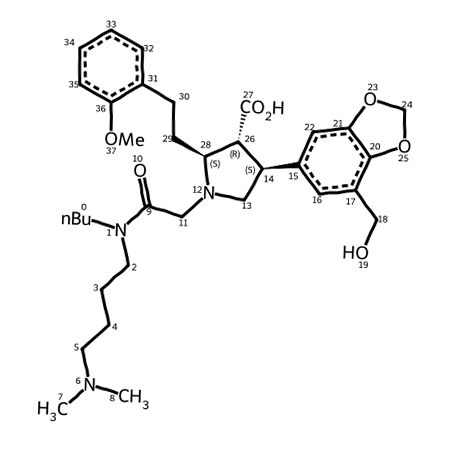 CCCCN(CCCCN(C)C)C(=O)CN1C[C@H](c2cc(CO)c3c(c2)OCO3)[C@@H](C(=O)O)[C@@H]1CCc1ccccc1OC